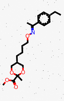 CCc1ccc(C(C)=NOCCCCC2COC(C)(C(=O)OC)OC2)cc1